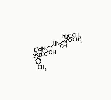 Cc1ccc(S(=O)(=O)N2CCC[C@H]2C(=O)N[C@@H](CCCCNC(=O)CNC(=O)OC(C)(C)C)C(=O)O)cc1